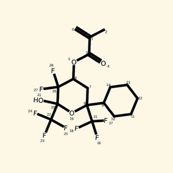 C=C(C)C(=O)OC1CC(C2CCCCC2)(C(F)(F)F)OC(O)(C(F)(F)F)C1(F)F